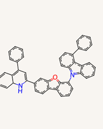 C1=CC2=C(c3ccccc3)C=C(c3ccc4c(c3)oc3c(-n5c6ccccc6c6c(-c7ccccc7)cccc65)cccc34)NC2C=C1